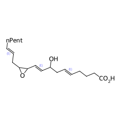 CCCCC/C=C/CC1OC1/C=C/C(O)C/C=C/CCCC(=O)O